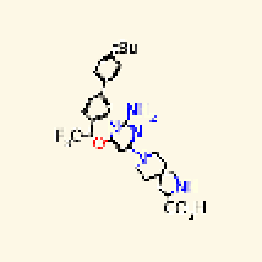 CC(C)(C)c1ccc(-c2ccc([C@@H](Oc3cc(N4CCC5(CC4)CNC(C(=O)O)C5)nc(N)n3)C(F)(F)F)cc2)cc1